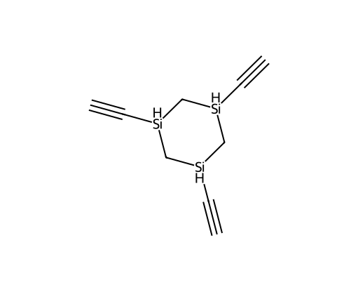 C#C[SiH]1C[SiH](C#C)C[SiH](C#C)C1